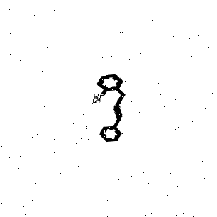 Brc1ccccc1CC=Cc1ccccc1